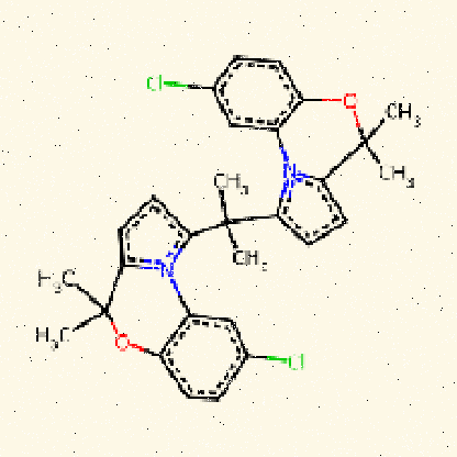 CC1(C)Oc2ccc(Cl)cc2-n2c1ccc2C(C)(C)c1ccc2n1-c1cc(Cl)ccc1OC2(C)C